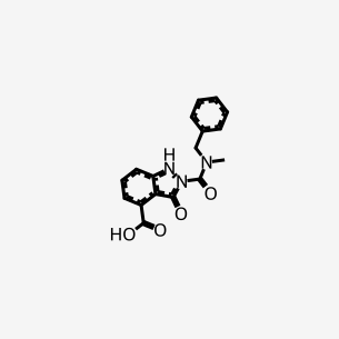 CN(Cc1ccccc1)C(=O)n1[nH]c2cccc(C(=O)O)c2c1=O